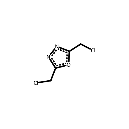 ClCc1nnc(CCl)o1